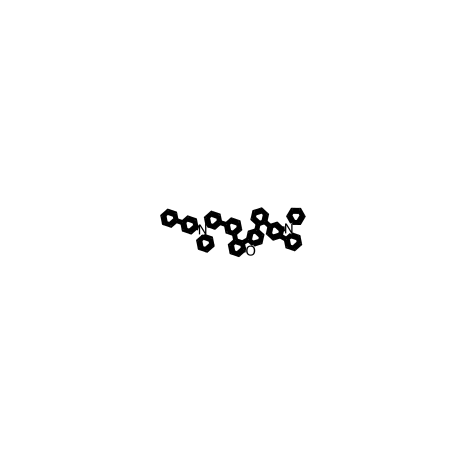 c1ccc(-c2ccc(N(c3ccccc3)c3cccc(-c4cccc(-c5cccc6oc7ccc(-c8ccccc8-c8ccc9c%10ccccc%10n(-c%10ccccc%10)c9c8)cc7c56)c4)c3)cc2)cc1